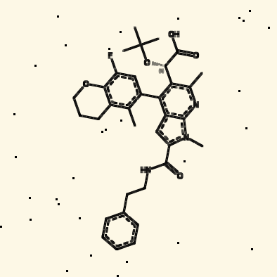 Cc1nc2c(cc(C(=O)NCCc3ccccc3)n2C)c(-c2cc(F)c3c(c2C)CCCO3)c1[C@H](OC(C)(C)C)C(=O)O